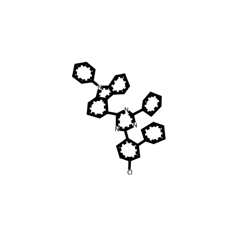 Clc1ccc(-c2nc(-c3ccccc3)nc(-c3cccc4c3c3ccccc3n4-c3ccccc3)n2)c(-c2ccccc2)c1